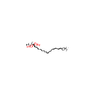 [CH2]CCCCCCC/C=C\CCCCCCCCC(C)(O)O